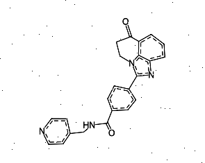 O=C(NCc1ccncc1)c1ccc(-c2nc3cccc4c3n2CCC4=O)cc1